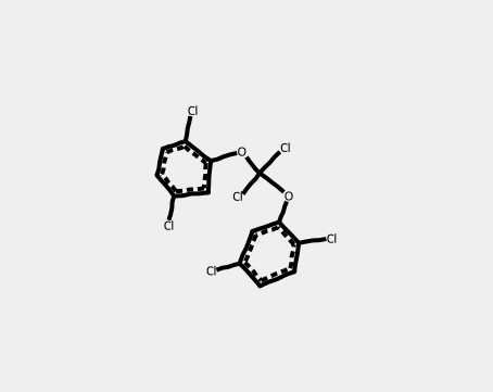 Clc1ccc(Cl)c(OC(Cl)(Cl)Oc2cc(Cl)ccc2Cl)c1